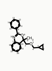 CC1(COCC2CC2)OC(c2ccccc2)=Nc2ccccc21